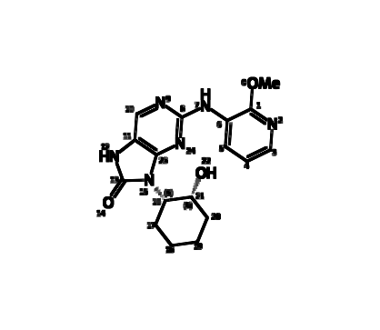 COc1ncccc1Nc1ncc2[nH]c(=O)n([C@H]3CCCC[C@H]3O)c2n1